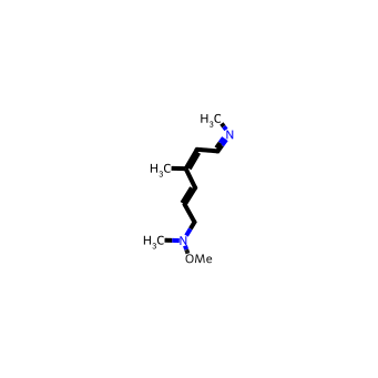 C\N=C/C=C(C)\C=C\CN(C)OC